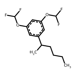 [CH2]C(CCCC)c1cc(OC(F)F)cc(OC(F)F)c1